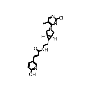 O=C(/C=C/c1ccc(O)nc1)NCC[C@@H]1[C@H]2CN(c3nc(Cl)ncc3F)C[C@@H]12